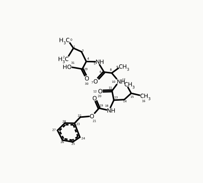 CC(C)CC(NC(=O)C(C)NC(=O)C(CC(C)C)NC(=O)OCc1ccccc1)C(=O)O